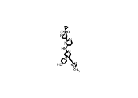 Cn1cnc(C#Cc2cnc(Nc3ccnc(-c4cnn(S(=O)(=O)C5CC5)c4)n3)cc2N2CCC(O)CC2)n1